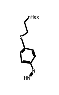 CCCCCCCCSc1ccc(N=N)cc1